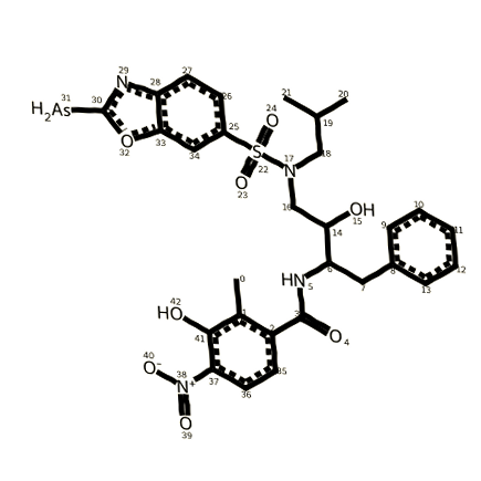 Cc1c(C(=O)NC(Cc2ccccc2)C(O)CN(CC(C)C)S(=O)(=O)c2ccc3nc([AsH2])oc3c2)ccc([N+](=O)[O-])c1O